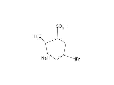 CC(C)C1CCC(C)C(S(=O)(=O)O)C1.[NaH]